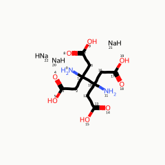 NC(CC(=O)O)(CC(=O)O)C(N)(CC(=O)O)CC(=O)O.[NaH].[NaH].[NaH]